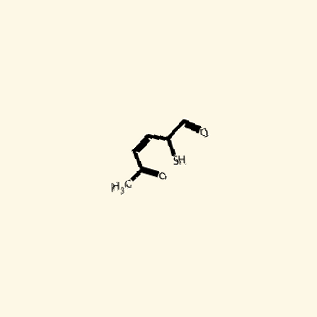 CC(=O)/C=C\C(S)C=O